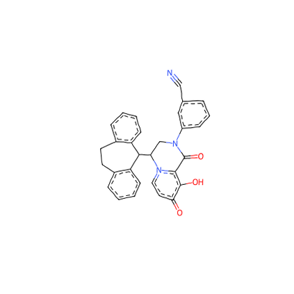 N#Cc1cccc(N2CC(C3c4ccccc4CCc4ccccc43)n3ccc(=O)c(O)c3C2=O)c1